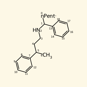 CCCC[CH]C(NCCC(C)c1ccccc1)c1ccccc1